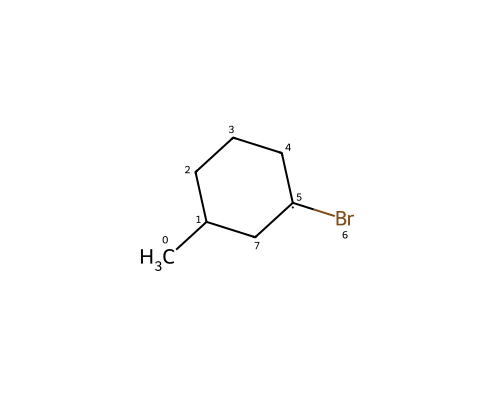 CC1CCC[C](Br)C1